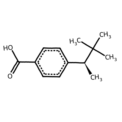 C[C@@H](c1ccc(C(=O)O)cc1)C(C)(C)C